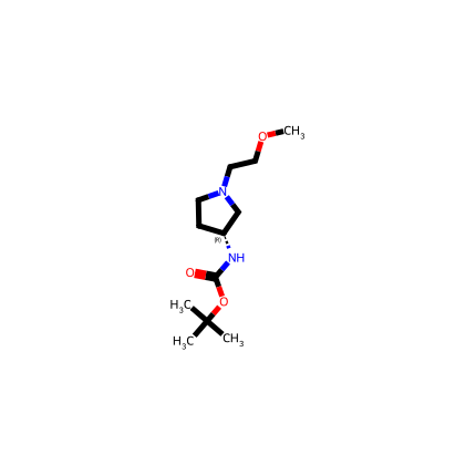 COCCN1CC[C@@H](NC(=O)OC(C)(C)C)C1